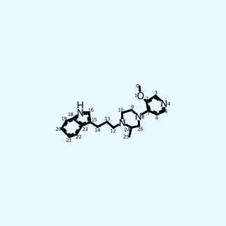 COc1cnccc1N1CCN(CCCc2c[nH]c3ccccc23)C(C)C1